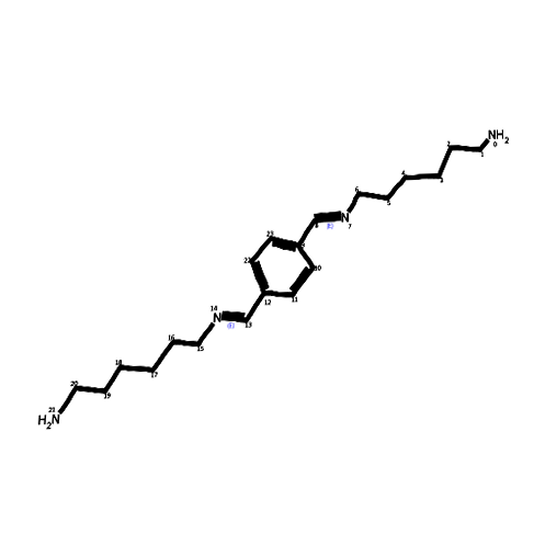 NCCCCCC/N=C/c1ccc(/C=N/CCCCCCN)cc1